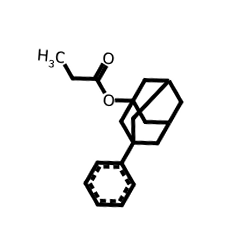 CCC(=O)OC12CC3CC(C1)CC(c1ccccc1)(C3)C2